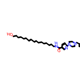 CC(C)CN1CCN(c2ccc(C(=O)NCCCCCCCCCCCCCCCCCO)cn2)CC1